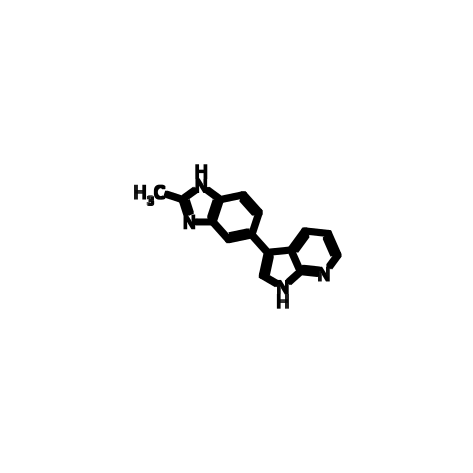 Cc1nc2cc(-c3c[nH]c4ncccc34)ccc2[nH]1